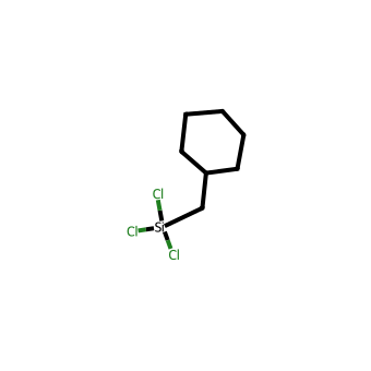 Cl[Si](Cl)(Cl)CC1CCCCC1